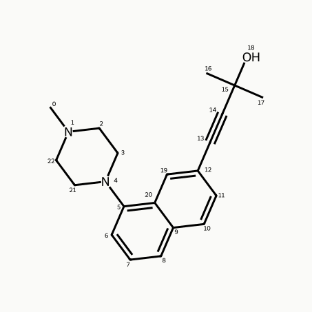 CN1CCN(c2cccc3ccc(C#CC(C)(C)O)cc23)CC1